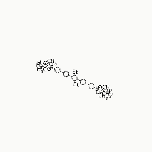 CCc1cc(-c2ccc(-c3ccc(B4OC(C)(C)C(C)(C)O4)cc3)cc2)c(CC)cc1-c1ccc(-c2ccc(B3OC(C)(C)C(C)(C)O3)cc2)cc1